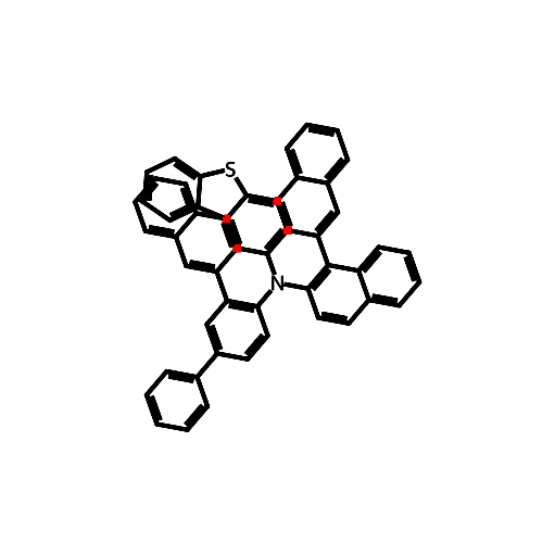 c1ccc(-c2ccc(N(c3ccc4sc5ccccc5c4c3)c3ccc4ccccc4c3-c3ccc4ccccc4c3)c(-c3ccc4ccccc4c3)c2)cc1